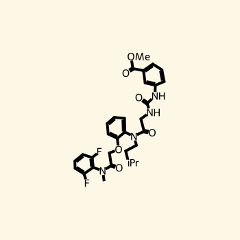 COC(=O)c1cccc(NC(=O)NCC(=O)N(CCC(C)C)c2ccccc2OCC(=O)N(C)c2c(F)cccc2F)c1